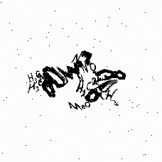 COc1cc(C)c(S(=O)(=O)N2c3ccccc3C[C@H]2COc2ccnc(C(N)CCCN3CCC(c4ccccc4)(N(C)C)CC3)n2)c(C)c1